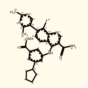 COC(=O)c1cc(Nc2c(C(N)=O)cnc3c(F)c(-c4cnc(C)nc4C)ccc23)cc(C2CCCC2)c1